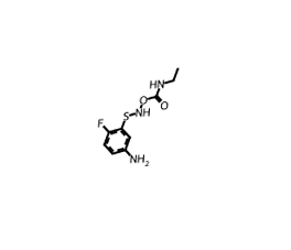 CCNC(=O)ONSc1cc(N)ccc1F